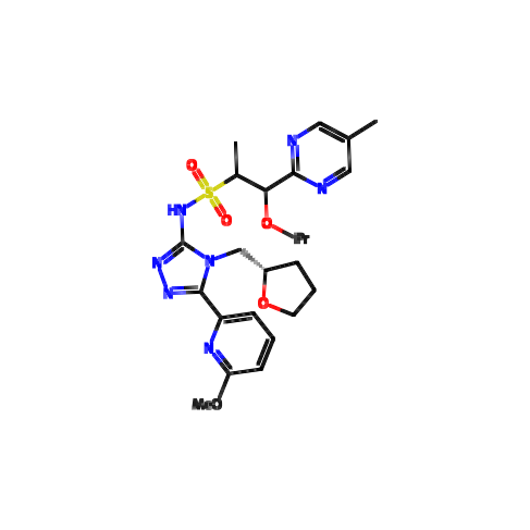 COc1cccc(-c2nnc(NS(=O)(=O)C(C)C(OC(C)C)c3ncc(C)cn3)n2C[C@@H]2CCCO2)n1